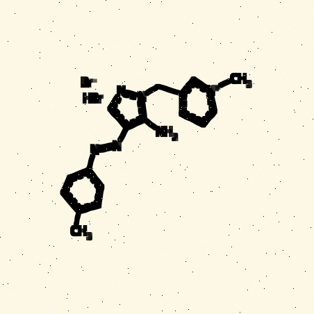 Br.Cc1ccc(N=Nc2cnn(Cc3ccc[n+](C)c3)c2N)cc1.[Br-]